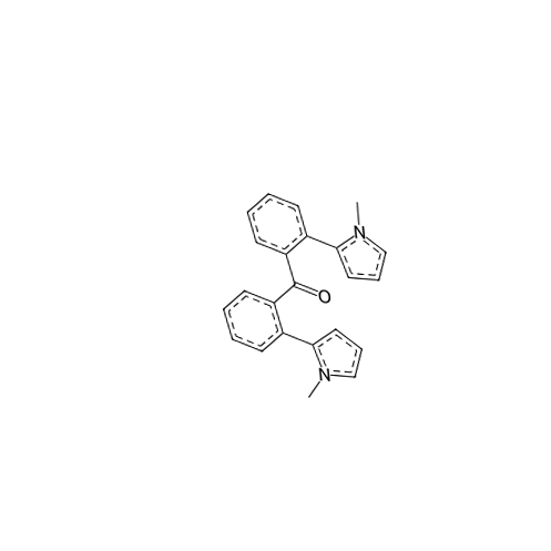 Cn1cccc1-c1ccccc1C(=O)c1ccccc1-c1cccn1C